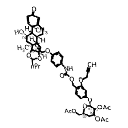 C#CCOc1cc(O[C@@H]2O[C@H](COC(C)=O)C[C@H](OC(C)=O)[C@H]2OC(C)=O)ccc1COC(=O)Nc1ccc(OCC(=O)[C@@]23OC(CCC)O[C@@H]2C[C@H]2[C@@H]4CCC5=CC(=O)C=C[C@]5(C)[C@H]4[C@@H](O)C[C@@]23C)cc1